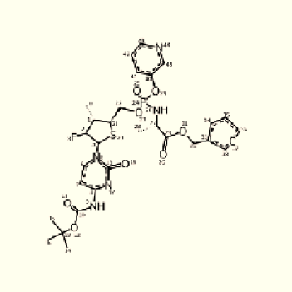 C[C@H]1[C@H](F)[C@H](n2ccc(NC(=O)OC(C)(C)C)nc2=O)S[C@@H]1COP(=O)(N[C@@H](C)C(=O)OCc1ccccc1)Oc1cccnc1